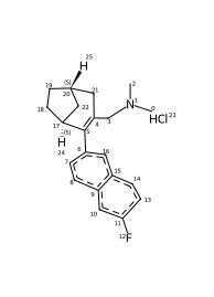 CN(C)CC1=C(c2ccc3cc(F)ccc3c2)[C@H]2CC[C@H](C1)C2.Cl